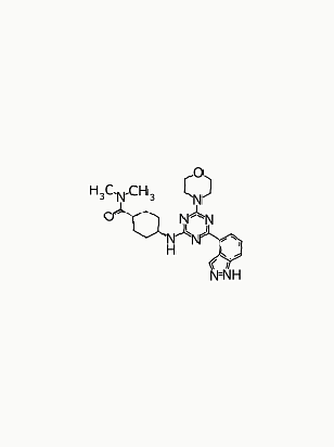 CN(C)C(=O)[C@H]1CC[C@@H](Nc2nc(-c3cccc4[nH]ncc34)nc(N3CCOCC3)n2)CC1